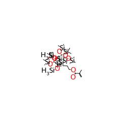 C=C(C)C(=O)OCCC[Si]([SiH](O[SiH3])C(O[Si](C)(C)C)O[Si](C)(C)C)([SiH](O[SiH3])C(O[Si](C)(C)C)O[Si](C)(C)C)[Si](C)(C)O[Si](C)(C)C